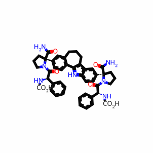 NC(=O)[C@@]1(c2ccc3c(c2)CCCc2c-3[nH]c3ccc([C@]4(C(N)=O)CCCN4C(=O)[C@H](NC(=O)O)c4ccccc4)cc23)CCCN1C(=O)[C@H](NC(=O)O)c1ccccc1